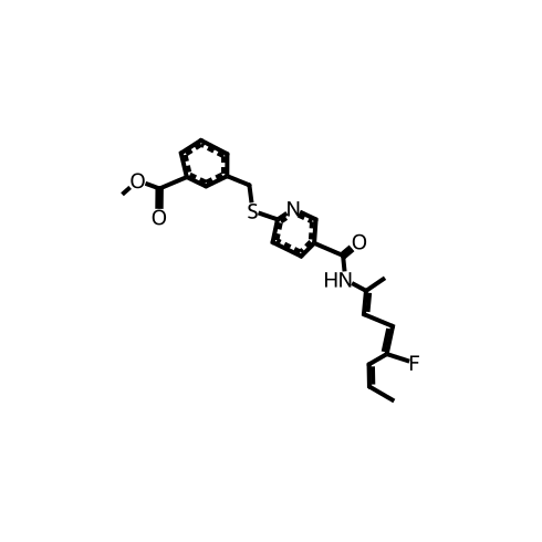 C\C=C/C(F)=C\C=C(/C)NC(=O)c1ccc(SCc2cccc(C(=O)OC)c2)nc1